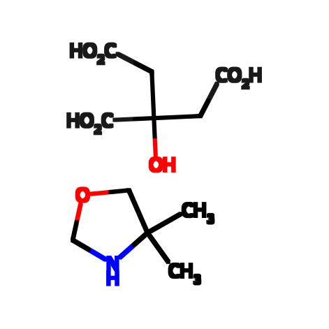 CC1(C)COCN1.O=C(O)CC(O)(CC(=O)O)C(=O)O